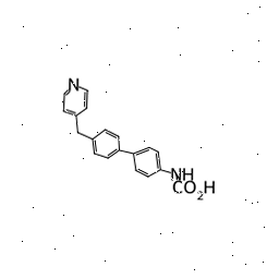 O=C(O)Nc1ccc(-c2ccc(Cc3ccncc3)cc2)cc1